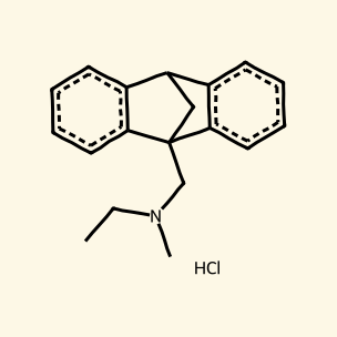 CCN(C)CC12CC(c3ccccc31)c1ccccc12.Cl